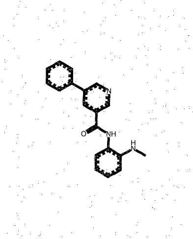 CNc1ccccc1NC(=O)c1cncc(-c2ccccc2)c1